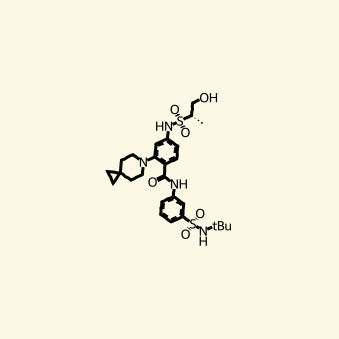 C[C@@H](CO)S(=O)(=O)Nc1ccc(C(=O)Nc2cccc(S(=O)(=O)NC(C)(C)C)c2)c(N2CCC3(CC2)CC3)c1